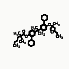 CCCCC(C)(CC)Oc1ccc(C(C)(C)c2ccc(OC(=O)C(C)(CC)CCCC)c(C3CCCCC3)c2)cc1C1CCCCC1